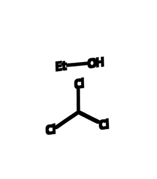 CCO.ClC(Cl)Cl